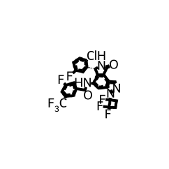 O=C(Nc1cc2c(cnn2C2(F)CCC2(F)F)c2c1[C@H](c1cc(F)ccc1Cl)NC2=O)c1cc(F)cc(C(F)(F)F)c1